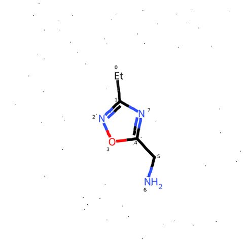 CCc1noc(CN)n1